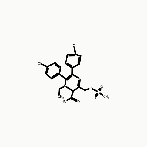 CCN1C(c2ccc(Cl)cc2)=C(c2ccc(Cl)cc2)N=C(COS(C)(=O)=O)C1C(=O)O